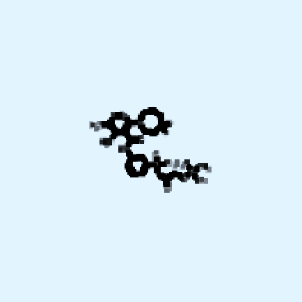 Cc1c(C(F)(F)F)nnc(N2CCCC(F)(F)CC2)c1C(=O)Nc1cccc(S(C)(=O)=NC(=O)CO[Si](C)(C)C(C)(C)C)c1